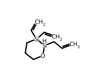 C=CC[SiH]1OCCC[Si]1(C=C)C=C